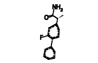 C[C@@H](C(N)=O)c1ccc(-c2ccccc2)c(F)c1